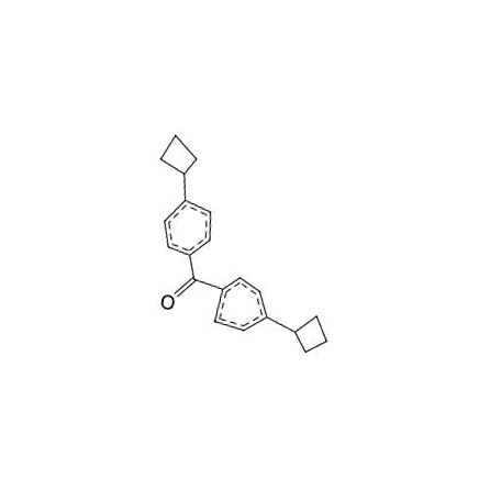 O=C(c1ccc(C2CCC2)cc1)c1ccc(C2CCC2)cc1